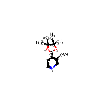 COc1cnccc1B1OC(C)(C)C(C)(C)O1